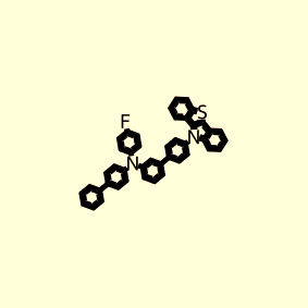 Fc1ccc(N(c2ccc(-c3ccccc3)cc2)c2cccc(-c3ccc(-n4c5ccccc5c5sc6ccccc6c54)cc3)c2)cc1